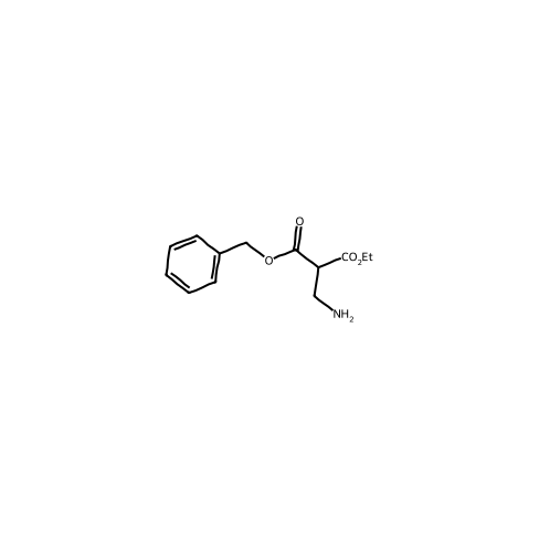 CCOC(=O)C(CN)C(=O)OCc1ccccc1